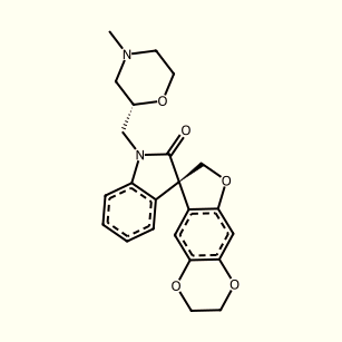 CN1CCO[C@H](CN2C(=O)[C@@]3(COc4cc5c(cc43)OCCO5)c3ccccc32)C1